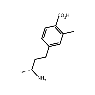 Cc1cc(CC[C@@H](C)N)ccc1C(=O)O